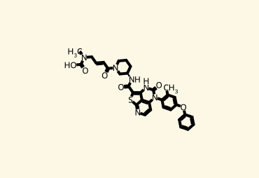 Cc1cc(Oc2ccccc2)ccc1N1C(=O)Nc2c(C(=O)N[C@@H]3CCCN(C(=O)/C=C/CN(C)C(=O)O)C3)sc3nccc1c23